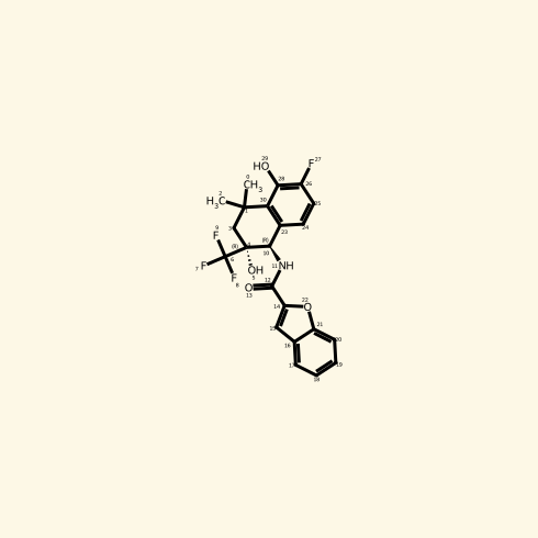 CC1(C)C[C@](O)(C(F)(F)F)[C@H](NC(=O)c2cc3ccccc3o2)c2ccc(F)c(O)c21